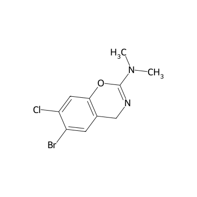 CN(C)C1=NCc2cc(Br)c(Cl)cc2O1